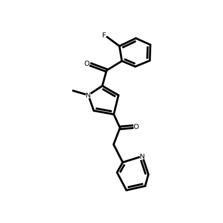 Cn1cc(C(=O)Cc2ccccn2)cc1C(=O)c1ccccc1F